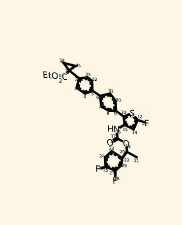 CCOC(=O)C1(c2ccc(-c3ccc(-c4sc(F)cc4NC(=O)OC(C)c4ccc(F)c(F)c4)cc3)cc2)CC1